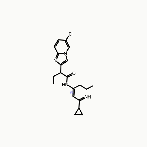 CCC/C(=C\C(=N)C1CC1)NC(=O)C(CC)c1cn2cc(Cl)ccc2n1